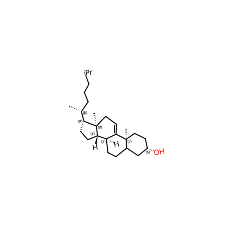 CC(C)CCC[C@@H](C)[C@H]1CC[C@H]2[C@@H]3CCC4C[C@@H](O)CC[C@]4(C)C3=CC[C@]12C